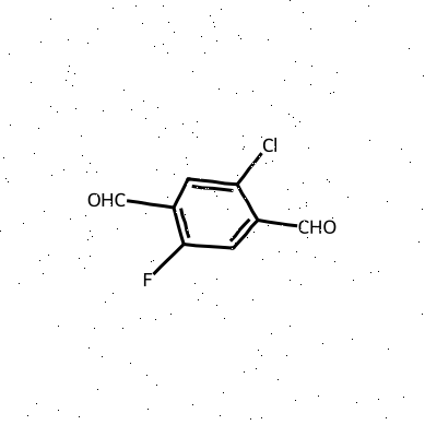 O=Cc1cc(Cl)c(C=O)cc1F